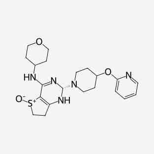 [O-][S+]1CCC2=C1C(NC1CCOCC1)=N[C@H](N1CCC(Oc3ccccn3)CC1)N2